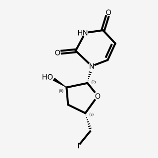 O=c1ccn([C@@H]2O[C@H](CI)C[C@H]2O)c(=O)[nH]1